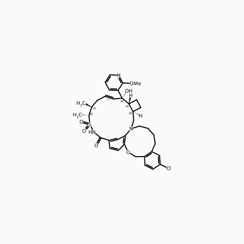 COc1ncccc1[C@]1(O)/C=C/C[C@H](C)[C@@H](C)S(=O)(=O)NC(=O)c2ccc3c(c2)N(CCCCc2cc(Cl)ccc2CO3)C[C@@H]2CC[C@H]21